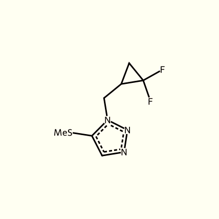 CSc1cnnn1CC1CC1(F)F